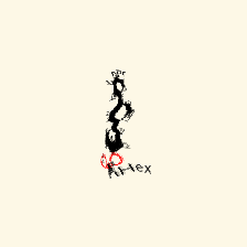 CCCCCCC(=O)O[C@H]1CC[C@H]([C@H]2CC[C@H]([C@H]3CC[C@H](CCC)CC3)CC2)CC1